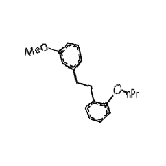 CCCOc1ccccc1CCc1cccc(OC)c1